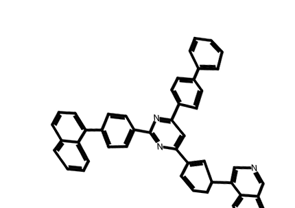 C1=CC(c2cc(-c3ccc(-c4ccccc4)cc3)nc(-c3ccc(-c4cccc5ccccc45)cc3)n2)=CC(c2cncc3ccccc23)C1